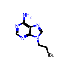 CCC(C)CCn1cnc2c(N)ncnc21